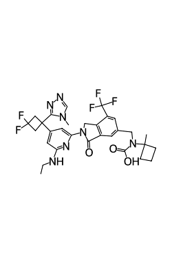 CCNc1cc(C2(c3nncn3C)CC(F)(F)C2)cc(N2Cc3c(cc(CN(C(=O)O)C4(C)CCC4)cc3C(F)(F)F)C2=O)n1